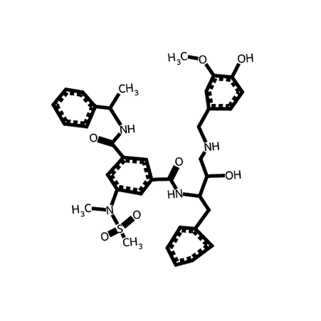 COc1cc(CNCC(O)C(Cc2ccccc2)NC(=O)c2cc(C(=O)NC(C)c3ccccc3)cc(N(C)S(C)(=O)=O)c2)ccc1O